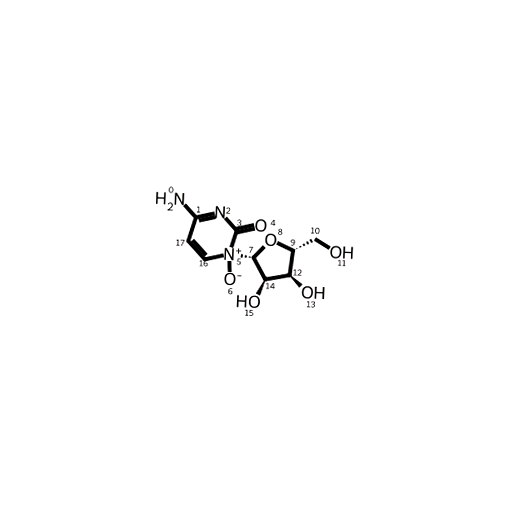 NC1=NC(=O)[N+]([O-])([C@@H]2O[C@H](CO)[C@@H](O)[C@H]2O)C=C1